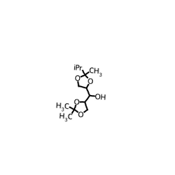 CC(C)C1(C)OCC(C(O)C2COC(C)(C)O2)O1